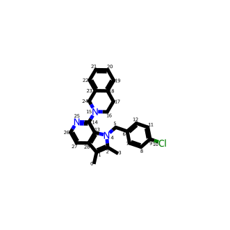 Cc1c(C)n(Cc2ccc(Cl)cc2)c2c(N3CCc4ccccc4C3)nccc12